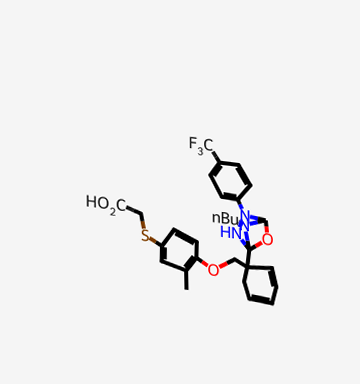 CCCCN1C2OC1(C1(COc3ccc(SCC(=O)O)cc3C)C=CC=CC1)NN2c1ccc(C(F)(F)F)cc1